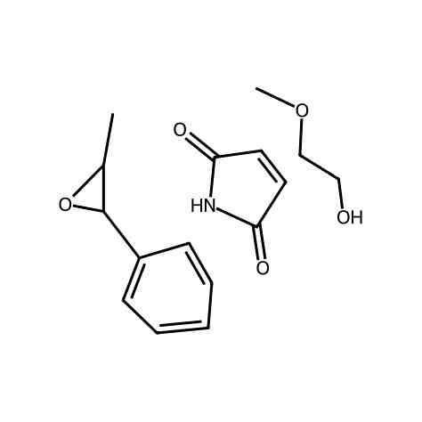 CC1OC1c1ccccc1.COCCO.O=C1C=CC(=O)N1